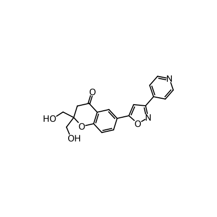 O=C1CC(CO)(CO)Oc2ccc(-c3cc(-c4ccncc4)no3)cc21